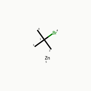 CC(C)(C)Br.[Zn]